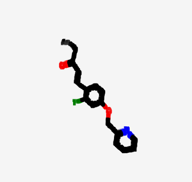 CC(=O)CC(=O)C=Cc1ccc(OCc2ccccn2)cc1F